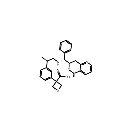 C[C@@H](CN[C@H](c1ccccc1)[C@H]1CNc2cccnc2C1)c1cccc(C2(C(=O)O)COC2)c1